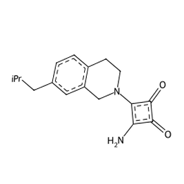 CC(C)Cc1ccc2c(c1)CN(c1c(N)c(=O)c1=O)CC2